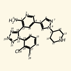 Nc1ncc(-c2cnn(C3CCNCC3)c2)cc1-c1nnnn1-c1cccc(F)c1Cl